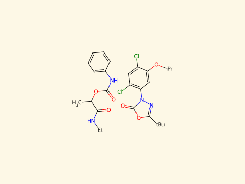 CC(C)Oc1cc(-n2nc(C(C)(C)C)oc2=O)c(Cl)cc1Cl.CCNC(=O)C(C)OC(=O)Nc1ccccc1